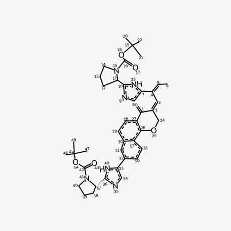 C=C1/C(=C\C(=C/C)c2cnc(C3CCCN3C(=O)OC(C)(C)C)[nH]2)COc2c1ccc1cc(-c3cnc([C@@H]4CCCN4C(=O)OC(C)(C)C)[nH]3)ccc21